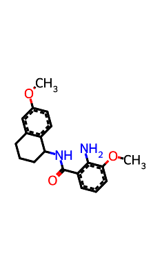 COc1ccc2c(c1)CCCC2NC(=O)c1cccc(OC)c1N